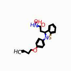 C#CCCOc1ccc(N2Sc3ccccc3C2CC(=O)NO)cc1